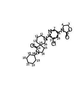 O=C1OCCN1c1cnc(N2CCCC3(CCN(C4CCCCC4)C3=O)C2)c(Cl)c1